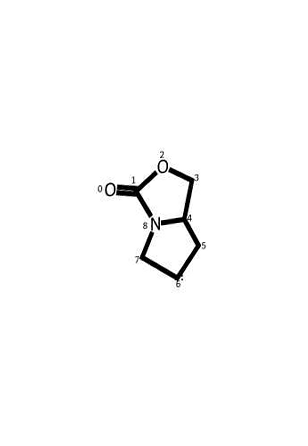 O=C1OCC2C[C]CN12